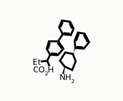 CCC(C(=O)O)c1ccc(-c2ccccc2)cc1.N[C@H]1CC[C@H](c2ccccc2)CC1